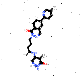 C[C@@H](CCCn1ncc2cc(-c3ccc(C(F)(F)F)cn3)ccc2c1=O)Nc1cn[nH]c(=O)c1C(F)(F)F